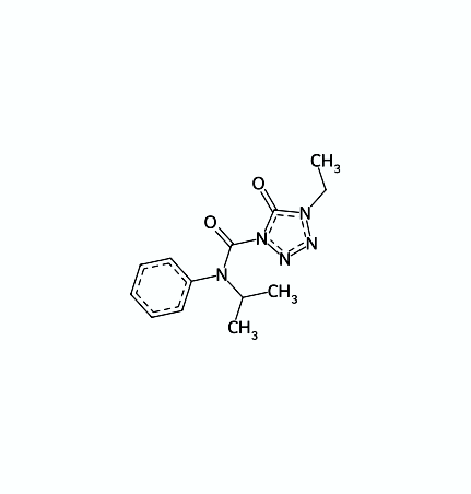 CCn1nnn(C(=O)N(c2ccccc2)C(C)C)c1=O